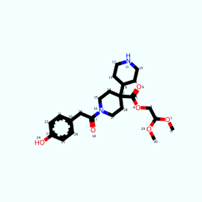 COC(COC(=O)C1(C2CCNCC2)CCN(C(=O)Cc2ccc(O)cc2)CC1)OC